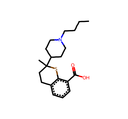 CCCCN1CCC(C2(C)CCc3cccc(C(=O)O)c3S2)CC1